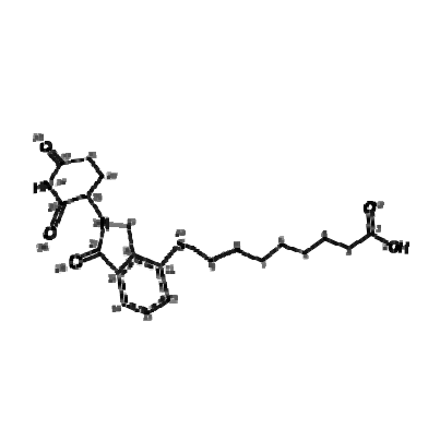 O=C(O)CCCCCCCSc1cccc2c1CN(C1CCC(=O)NC1=O)C2=O